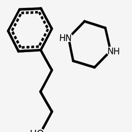 C1CNCCN1.OCCCc1ccccc1